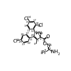 Cc1c(C(=O)O/N=C(/N)C(C)C)nn(-c2ccc(Cl)cc2Cl)c1-c1ccc(Cl)cc1